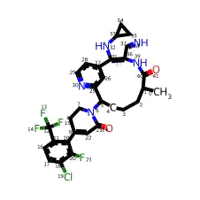 CC1CCCC(N2CCC(c3c(C(F)(F)F)ccc(Cl)c3F)=CC2=O)c2cc(ccn2)/C(NC2CC2)=C(/C=N)NC1=O